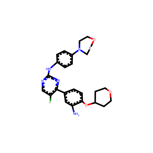 Nc1cc(-c2nc(Nc3ccc(N4CCOCC4)cc3)ncc2F)ccc1OC1CCOCC1